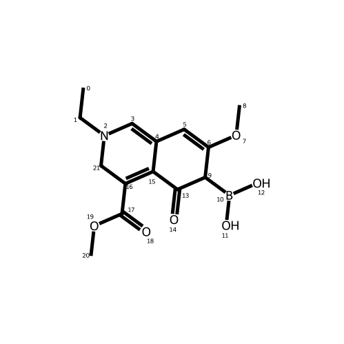 CCN1C=C2C=C(OC)C(B(O)O)C(=O)C2=C(C(=O)OC)C1